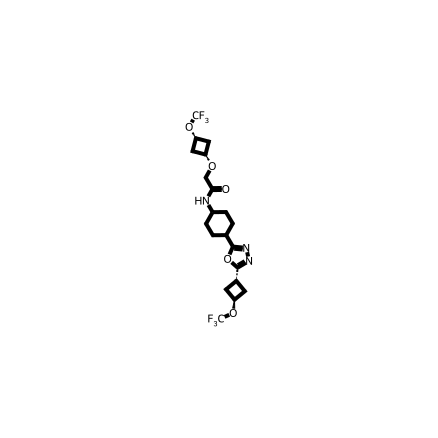 O=C(CO[C@H]1C[C@@H](OC(F)(F)F)C1)NC1CCC(c2nnc([C@H]3C[C@H](OC(F)(F)F)C3)o2)CC1